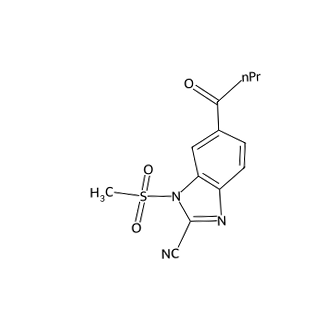 CCCC(=O)c1ccc2nc(C#N)n(S(C)(=O)=O)c2c1